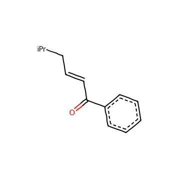 CC(C)C/C=C/C(=O)c1ccccc1